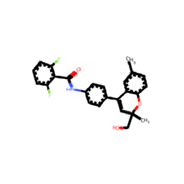 Cc1ccc2c(c1)C(c1ccc(NC(=O)c3c(F)cccc3F)cc1)=CC(C)(CO)O2